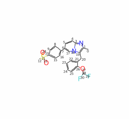 Cc1nc2ccc(-c3ccc(S(C)(=O)=O)cc3)cn2c1Cc1ccccc1OC(F)F